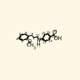 COc1ccccc1CCCNc1ccc(C(=O)O)cc1